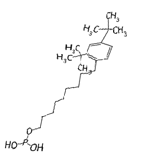 CC(C)(C)c1ccc(CCCCCCCCCOP(O)O)c(C(C)(C)C)c1